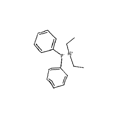 C[CH2][Al+][CH2]C.c1ccc([P-]c2ccccc2)cc1